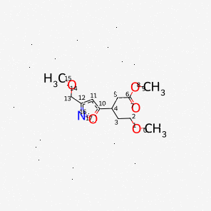 COCCC(CC(=O)OC)c1cc(COC)no1